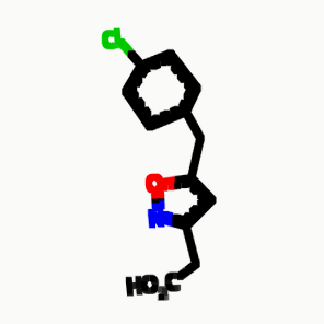 O=C(O)Cc1cc(Cc2ccc(Cl)cc2)on1